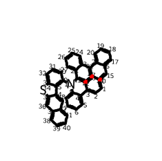 c1ccc(-c2ccccc2N(c2cc3ccc4ccccc4c3c3ccccc23)c2cccc3sc4cc5ccccc5cc4c23)cc1